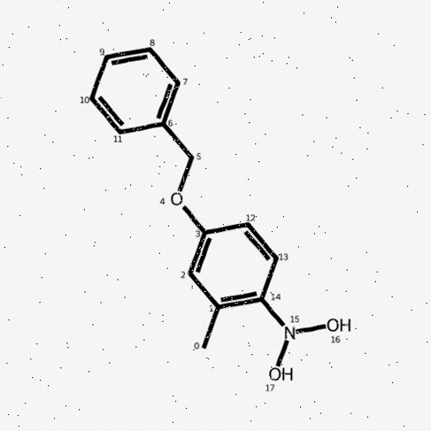 Cc1cc(OCc2ccccc2)ccc1N(O)O